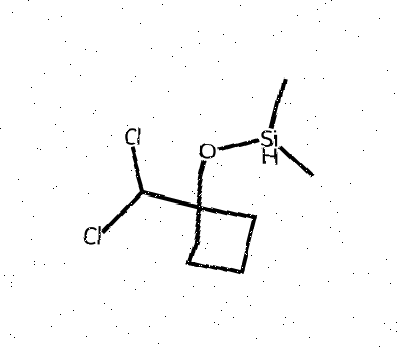 C[SiH](C)OC1(C(Cl)Cl)CCC1